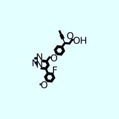 CC#C[C@@H](CC(=O)O)c1ccc(OCc2cc(-c3cc(OC)ccc3F)cn3ncnc23)cc1